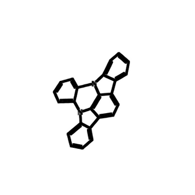 c1ccc2c(c1)c1ccc3c4ccccc4n4c5ccccc5n2c1c34